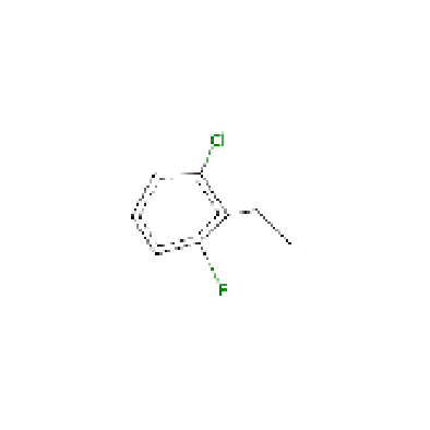 [CH2]Cc1c(F)cccc1Cl